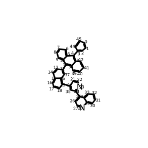 c1ccc(-c2c3ccccc3c(-c3ccc4cccc(-c5ccnc(-c6ccnc7ccccc67)c5)c4c3)c3ccccc23)cc1